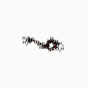 CCCC[C@H](NC(=O)CCC(=O)NCCCOCCOCCOCCCNC(=O)C(CNCCN)CNCCN)C(=O)N[C@H]1CSCc2cncc(c2)CSCC(C(=O)O)NC(=O)[C@H](Cc2ccccc2)NC(=O)[C@H](CCC(N)=O)NC(=O)[C@H]([C@@H](C)O)NC(=O)[C@@H]2CCCN2C(=O)[C@@H]2CCCN2C1=O